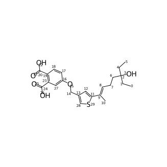 CCC(O)(CC)CCC=C(C)c1cc(COc2ccc(C(=O)O)c(C(=O)O)c2)cs1